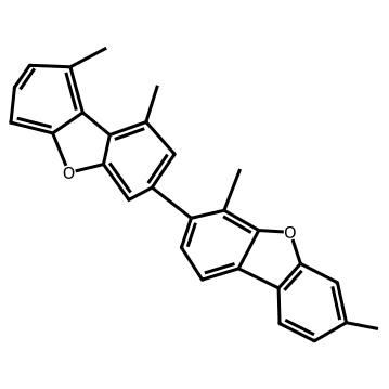 Cc1ccc2c(c1)oc1c(C)c(-c3cc(C)c4c(c3)oc3cccc(C)c34)ccc12